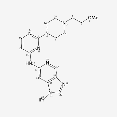 COCCN1CCN(c2nccc(Nc3cc4c(cn3)ncn4C(C)C)n2)CC1